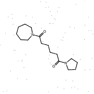 O=C(CCCCC(=O)N1CCCC1)N1CCCCCC1